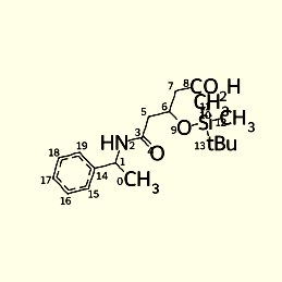 CC(NC(=O)CC(CC(=O)O)O[Si](C)(C)C(C)(C)C)c1ccccc1